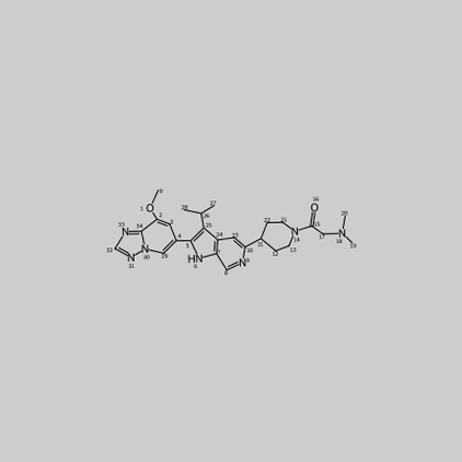 COc1cc(-c2[nH]c3cnc(C4CCN(C(=O)CN(C)C)CC4)cc3c2C(C)C)cn2ncnc12